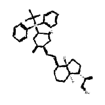 C=C1CC([Si](c2ccccc2)(c2ccccc2)C(C)(C)C)C(=O)CC1=CC=C1CCC[C@]2(C)[C@@H](C(=C)CO)CC[C@@H]12